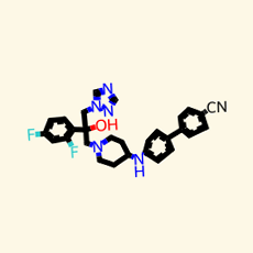 N#Cc1ccc(-c2ccc(NC3CCN(CC(O)(Cn4cncn4)c4ccc(F)cc4F)CC3)cc2)cc1